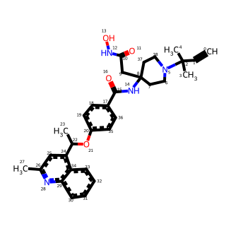 C#CC(C)(C)N1CCC(CC(=O)NO)(NC(=O)c2ccc(OC(C)c3cc(C)nc4ccccc34)cc2)CC1